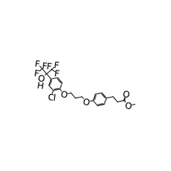 COC(=O)CCc1ccc(OCCCOc2ccc(C(O)(C(F)(F)F)C(F)(F)F)cc2Cl)cc1